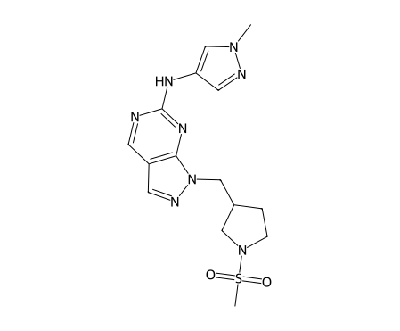 Cn1cc(Nc2ncc3cnn(CC4CCN(S(C)(=O)=O)C4)c3n2)cn1